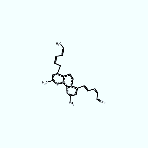 C=C/C=C\C=C\c1cc(C)nc2c1ccc1c(C/C=C\C=C/C)cc(C)nc12